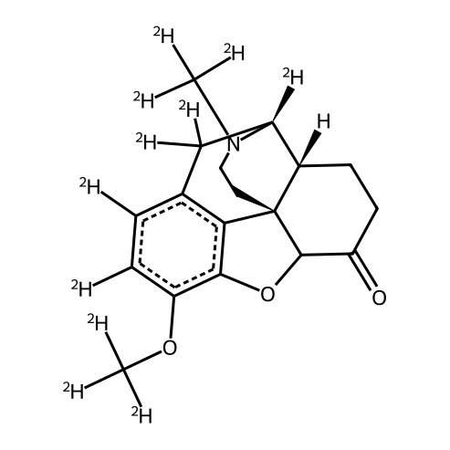 [2H]c1c([2H])c2c3c(c1OC([2H])([2H])[2H])OC1C(=O)CC[C@@H]4[C@@]31CCN(C([2H])([2H])[2H])[C@]4([2H])C2([2H])[2H]